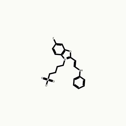 O=S(=O)([O-])CCCC[n+]1c(/C=C/Nc2ccccc2)oc2cc(F)ccc21